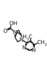 Cc1ncnc(N2CC3CC2CN3C(=O)O)c1C